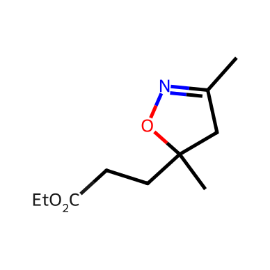 CCOC(=O)CCC1(C)CC(C)=NO1